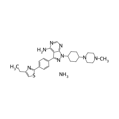 CCc1csc(-c2ccc(-c3nn(C4CCC(N5CCN(C)CC5)CC4)c4ncnc(N)c34)cc2)n1.N